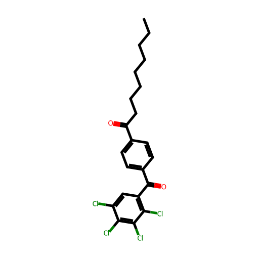 CCCCCCCCC(=O)c1ccc(C(=O)c2cc(Cl)c(Cl)c(Cl)c2Cl)cc1